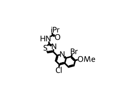 COc1ccc2c(Cl)cc(-c3csc(NC(=O)C(C)C)n3)nc2c1Br